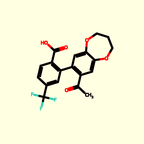 CC(=O)c1cc2c(cc1-c1cc(C(F)(F)F)ccc1C(=O)O)OCCCO2